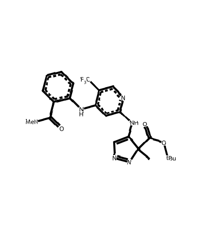 CNC(=O)c1ccccc1Nc1cc(NC2=CN=NC2(C)C(=O)OC(C)(C)C)ncc1C(F)(F)F